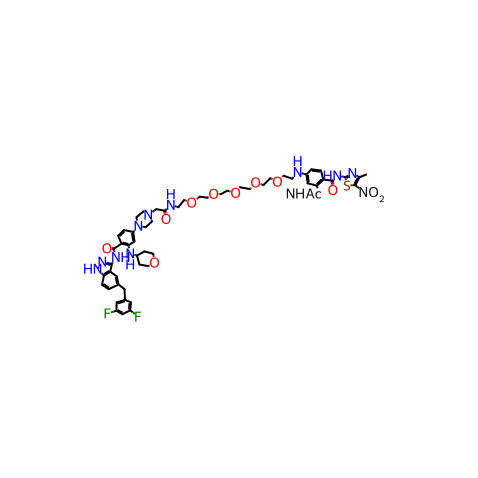 CC(=O)Nc1cc(NCCOCCOCCOCCOCCOCCNC(=O)CN2CCN(c3ccc(C(=O)Nc4n[nH]c5ccc(Cc6cc(F)cc(F)c6)cc45)c(NC4CCOCC4)c3)CC2)ccc1C(=O)Nc1nc(C)c([N+](=O)[O-])s1